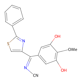 COc1c(O)cc(/C(=N\C#N)c2csc(-c3ccccc3)n2)cc1O